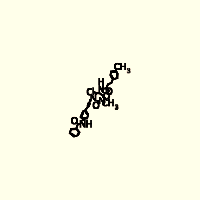 Cc1ccc(CCC(=O)Nc2c(Cl)n(CC#Cc3ccc(NC(=O)c4ccccc4)cc3)c(=O)n(C)c2=O)cc1